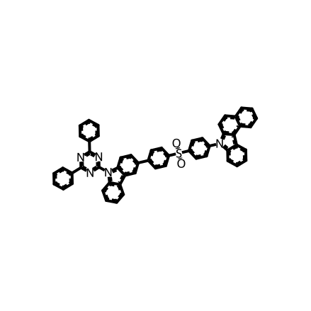 O=S(=O)(c1ccc(-c2ccc3c(c2)c2ccccc2n3-c2nc(-c3ccccc3)nc(-c3ccccc3)n2)cc1)c1ccc(-n2c3ccccc3c3c4ccccc4ccc32)cc1